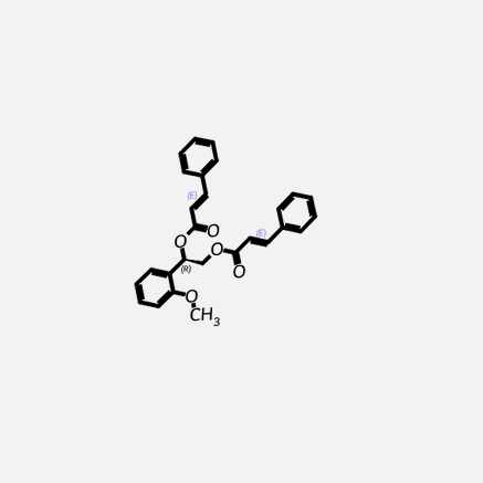 COc1ccccc1[C@H](COC(=O)/C=C/c1ccccc1)OC(=O)/C=C/c1ccccc1